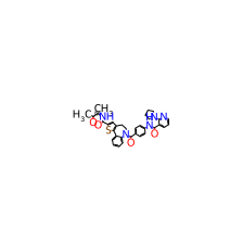 CC(=O)[C@H](C)NC(=O)c1cc2c(s1)-c1ccccc1N(C(=O)c1ccc(NC(=O)c3cccnc3N3CCCC3)cc1)CC2